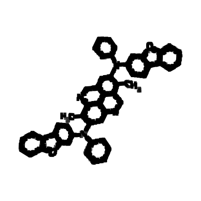 Cc1c(N(c2ccccc2)c2ccc3c(c2)oc2ccccc23)cc2cnc3c(C)c(N(c4ccccc4)c4ccc5c(c4)oc4ccccc45)cc4ncc1c2c43